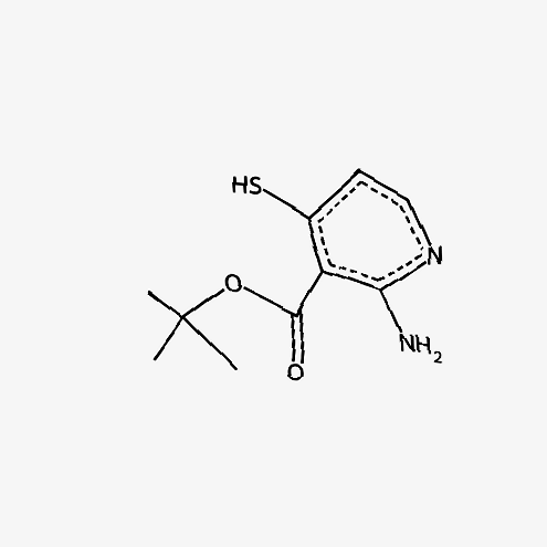 CC(C)(C)OC(=O)c1c(S)ccnc1N